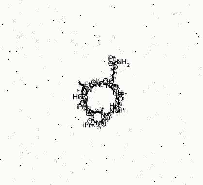 C/C=C/C[C@@H](C)[C@@H](O)[C@@H]1C(=O)N[C@@H](CC)C(=O)N(C)CC(=O)N(C)[C@@H]([C@@H](C)OCCCCOC(=O)[C@@H](N)C(C)C)C(=O)N[C@@H](C(C)C)C(=O)N(C)[C@@H](CC(C)C)C(=O)N[C@@H](C)C(=O)N2C(C)C[C@@H](C(=O)N(C)[C@@H](C(C)C)C(=O)N1C)N(C)C(=O)[C@H](CC(C)C)N(C)C(=O)[C@H]2C